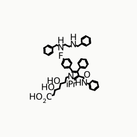 CC(C)c1c(C(=O)Nc2ccccc2)c(-c2ccccc2)c(-c2ccc(F)cc2)n1CC[C@@H](O)C[C@@H](O)CC(=O)O.c1ccc(CNCCNCc2ccccc2)cc1